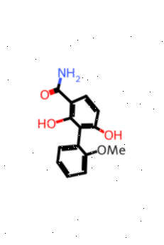 COc1ccccc1-c1c(O)ccc(C(N)=O)c1O